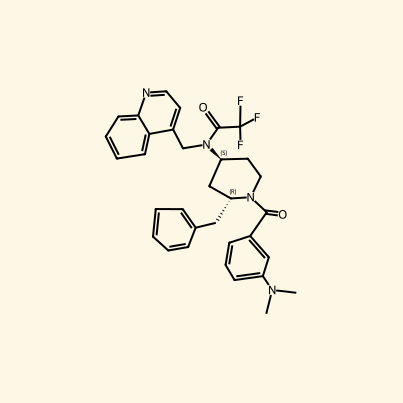 CN(C)c1cccc(C(=O)N2CC[C@H](N(Cc3ccnc4ccccc34)C(=O)C(F)(F)F)C[C@H]2Cc2ccccc2)c1